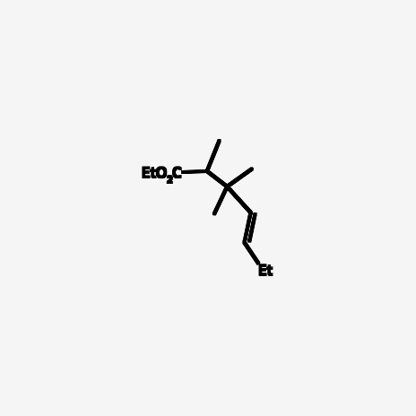 CCC=CC(C)(C)C(C)C(=O)OCC